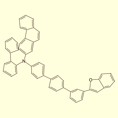 c1ccc(-c2ccccc2N(c2ccc(-c3ccc(-c4cccc(-c5cc6ccccc6o5)c4)cc3)cc2)c2ccc3c(ccc4ccccc43)c2)cc1